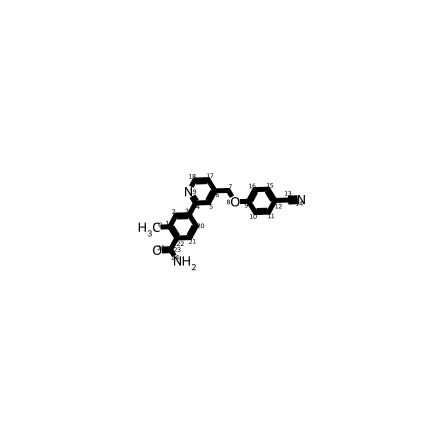 Cc1cc(-c2cc(COc3ccc(C#N)cc3)ccn2)ccc1C(N)=O